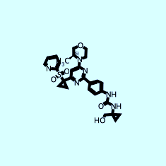 C[C@H]1COCCN1c1cc(C2(S(=O)(=O)c3ccccn3)CC2)nc(-c2ccc(NC(=O)NC3(CO)CC3)cc2)n1